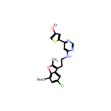 CCOc1csc(-c2cc(NCCc3c(C)oc4c(OC)cc(Cl)cc34)ncn2)c1